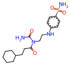 NC(=O)N(CCNc1ccc(S(N)(=O)=O)cc1)C(=O)[CH]CC1CCCCC1